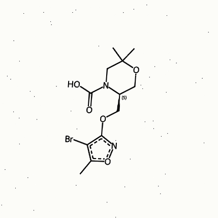 Cc1onc(OC[C@@H]2COC(C)(C)CN2C(=O)O)c1Br